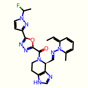 C/C=C1/C=CC=C(C)N1/N=C/[C@H]1c2nc[nH]c2CCN1C(=O)c1nnc(-c2ccn(C(C)F)n2)o1